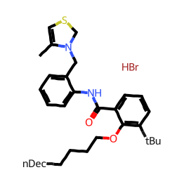 Br.CCCCCCCCCCCCCCOc1c(C(=O)Nc2ccccc2CN2CSC=C2C)cccc1C(C)(C)C